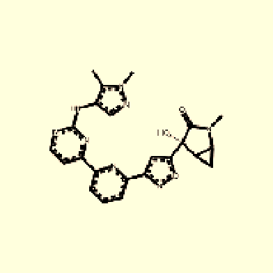 Cc1c(Nc2nccc(-c3cccc(-c4cc([C@@]5(O)C(=O)N(C)C6CC65)on4)n3)n2)cnn1C